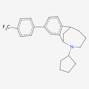 FC(F)(F)c1ccc(-c2ccc3c(c2)C2CC3CCCN2C2CCCC2)cc1